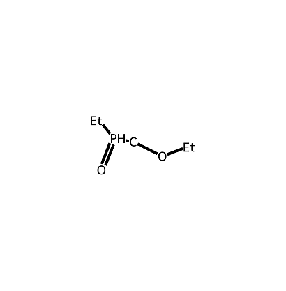 CCOC[PH](=O)CC